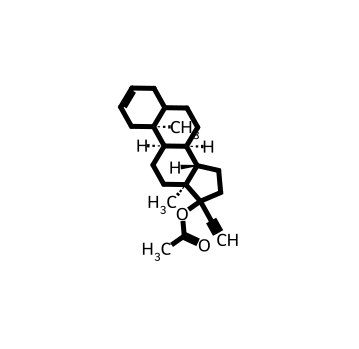 C#CC1(OC(C)=O)CC[C@H]2[C@@H]3CCC4CC=CC[C@]4(C)[C@@H]3CC[C@@]21C